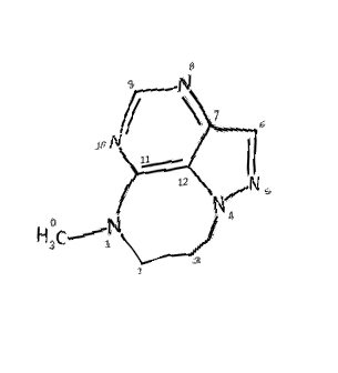 CN1CCn2ncc3ncnc1c32